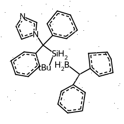 BC(c1ccccc1)c1ccccc1.CC(C)(C)[SiH2]C(c1ccccc1)(c1ccccc1)n1ccnc1